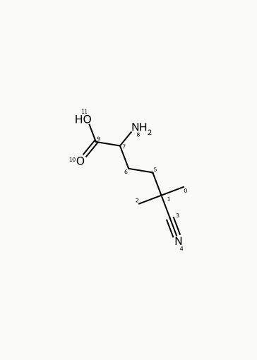 CC(C)(C#N)CCC(N)C(=O)O